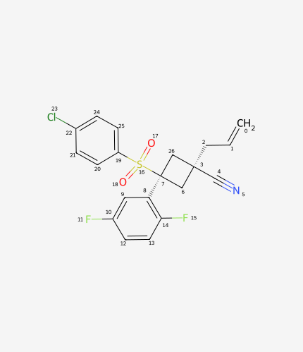 C=CC[C@]1(C#N)C[C@@](c2cc(F)ccc2F)(S(=O)(=O)c2ccc(Cl)cc2)C1